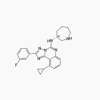 Fc1cccc(-c2nc3c4c(C5CC5)cccc4nc(N[C@@H]4CCCCNC4)n3n2)c1